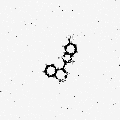 Cc1ccc2[nH]c(C(=S=O)c3ccccc3N)nc2c1